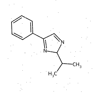 CC(C)C1N=CC(c2ccccc2)=N1